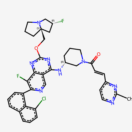 Cc1nccc(C=CC(=O)N2CCC[C@@H](Nc3nc(OC[C@@]45CCCN4C[C@H](F)C5)nc4c(F)c(-c5cccc6cccc(Cl)c56)ncc34)C2)n1